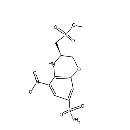 COS(=O)(=O)C[C@H]1COc2cc(S(N)(=O)=O)cc([N+](=O)[O-])c2N1